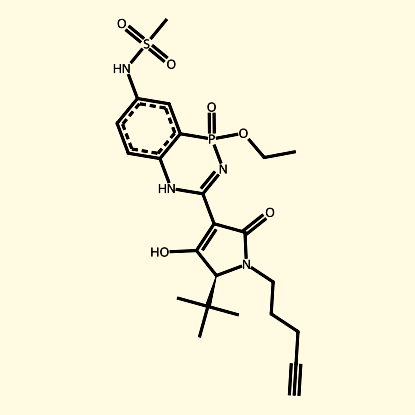 C#CCCCN1C(=O)C(C2=NP(=O)(OCC)c3cc(NS(C)(=O)=O)ccc3N2)=C(O)[C@@H]1C(C)(C)C